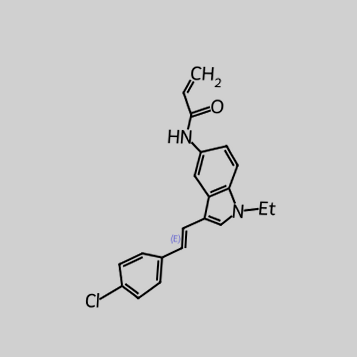 C=CC(=O)Nc1ccc2c(c1)c(/C=C/c1ccc(Cl)cc1)cn2CC